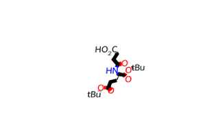 CC(C)(C)OC(=O)CC[C@H](NC(=O)CCC(=O)O)C(=O)OC(C)(C)C